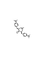 CN1C/C(=C\c2ccc(N(C)C)cc2)C(=O)/C(=C/c2ccc(N(C)C)cc2)C1